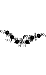 Cc1cc(NC2=NC(NCCS(=O)(=O)O)NC(Nc3ccc(NNc4ccc(NNc5ccc(S(=O)(=O)O)cc5)cc4S(=O)(=O)O)c(C)c3)=N2)ccc1NNc1ccc(NNc2ccc(S(=O)(=O)O)cc2)cc1S(=O)(=O)O